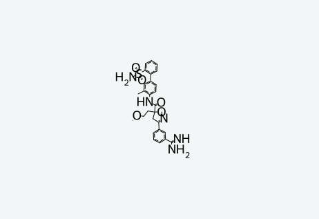 COCCC1(C(=O)Nc2ccc(-c3ccccc3S(N)(=O)=O)cc2C)CC(c2cccc(C(=N)N)c2)=NO1